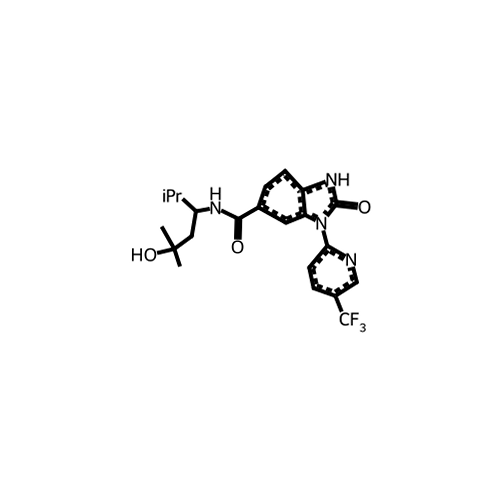 CC(C)C(CC(C)(C)O)NC(=O)c1ccc2[nH]c(=O)n(-c3ccc(C(F)(F)F)cn3)c2c1